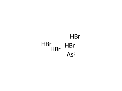 Br.Br.Br.Br.[As]